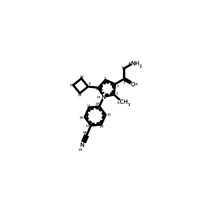 Cc1c(C(=O)CN)cc(C2CCC2)n1-c1ccc(C#N)cc1